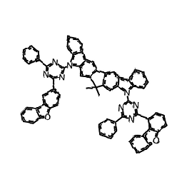 CC1(C)c2cc3c(cc2-c2cc4c5ccccc5n(-c5nc(-c6ccccc6)nc(-c6cccc7oc8ccccc8c67)n5)c4cc21)c1ccccc1n3-c1nc(-c2ccccc2)nc(-c2ccc3oc4ccccc4c3c2)n1